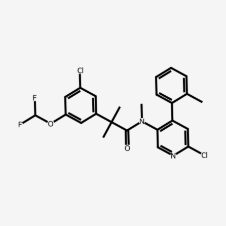 Cc1ccccc1-c1cc(Cl)ncc1N(C)C(=O)C(C)(C)c1cc(Cl)cc(OC(F)F)c1